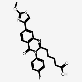 COc1nc(-c2ccc3c(=O)n(-c4ccc(F)cc4)c(CCCCC(=O)O)nc3c2)cs1